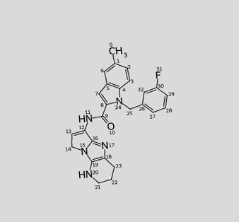 Cc1ccc2c(c1)cc(C(=O)NC1=CCn3c1nc1c3NCCC1)n2Cc1cccc(F)c1